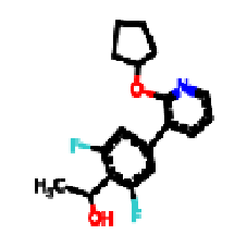 CC(O)c1c(F)cc(-c2cccnc2OC2CCCC2)cc1F